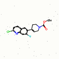 CC(C)(C)OC(=O)N1CC=C(c2cc3ccc(Cl)nc3cc2F)CC1